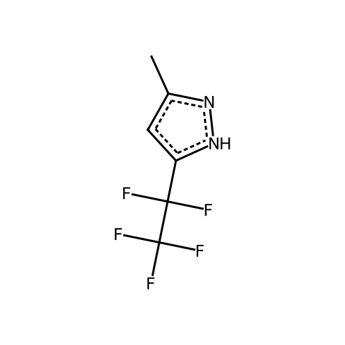 Cc1cc(C(F)(F)C(F)(F)F)[nH]n1